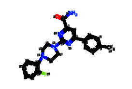 NC(=O)c1cc(-c2ccc(C(F)(F)F)cc2)nc(N2CCN(c3ccccc3F)CC2)n1